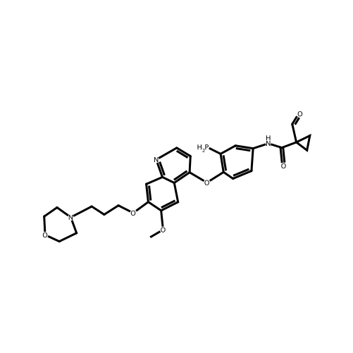 COc1cc2c(Oc3ccc(NC(=O)C4(C=O)CC4)cc3P)ccnc2cc1OCCCN1CCOCC1